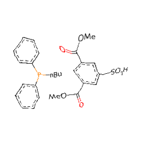 CCCCP(c1ccccc1)c1ccccc1.COC(=O)c1cc(C(=O)OC)cc(S(=O)(=O)O)c1